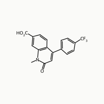 Cn1c(=O)cc(-c2ccc(C(F)(F)F)cc2)c2ccc(C(=O)O)cc21